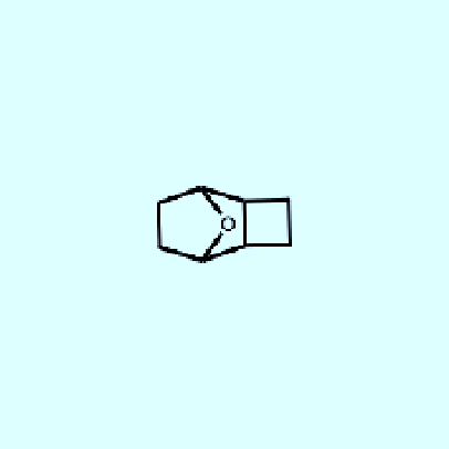 C1CC2OC1C1CCC21